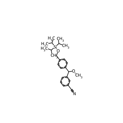 COC(c1ccc(CO[Si](C(C)C)(C(C)C)C(C)C)cc1)c1cccc(C#N)c1